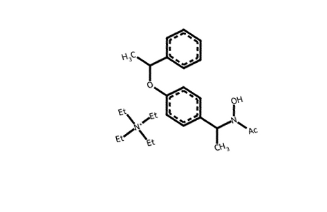 CC(=O)N(O)C(C)c1ccc(OC(C)c2ccccc2)cc1.CC[N+](CC)(CC)CC